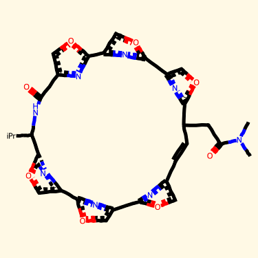 CC(C)C1NC(=O)c2coc(n2)-c2coc(n2)-c2coc(n2)C(CC(=O)N(C)C)/C=C/c2coc(n2)-c2coc(n2)-c2coc1n2